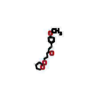 COc1ccc(CCC(=O)CCCOC2CCCCO2)cc1